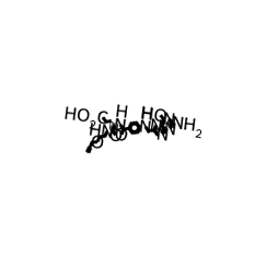 C#CCOCCNC(=O)[C@H](CCC(=O)O)NC(=O)c1ccc(NCc2cnc3nc(N)nc(O)c3n2)cc1